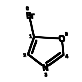 Brc1cnco1